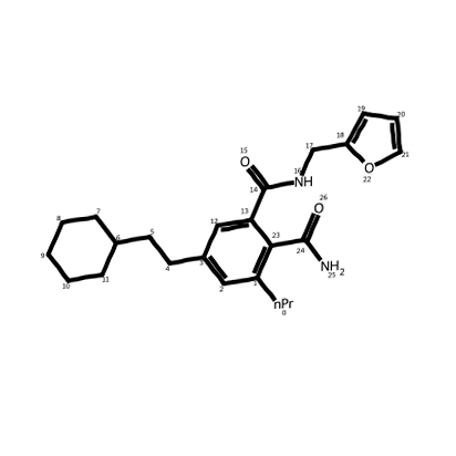 [CH2]CCc1cc(CCC2CCCCC2)cc(C(=O)NCc2ccco2)c1C(N)=O